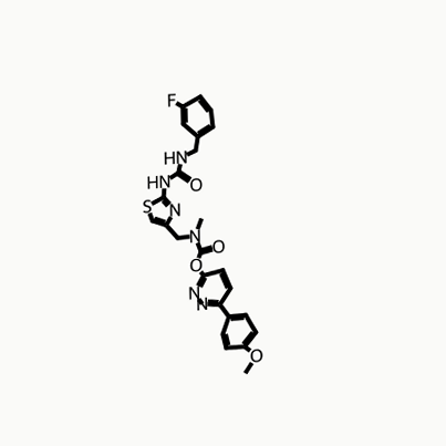 COc1ccc(-c2ccc(OC(=O)N(C)Cc3csc(NC(=O)NCc4cccc(F)c4)n3)nn2)cc1